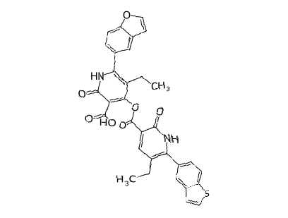 CCc1cc(C(=O)Oc2c(CC)c(-c3ccc4occc4c3)[nH]c(=O)c2C(=O)O)c(=O)[nH]c1-c1ccc2sccc2c1